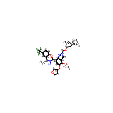 COc1c(O[C@H]2CCOC2)cc(C(=O)N[C@H](C)c2cccc(C(F)(F)F)c2)c2nn(COCC[Si](C)(C)C)cc12